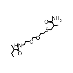 CCC(C)C(=O)NCCOCOCCSCC(C)C(N)=O